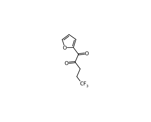 O=C(CCC(F)(F)F)C(=O)c1ccco1